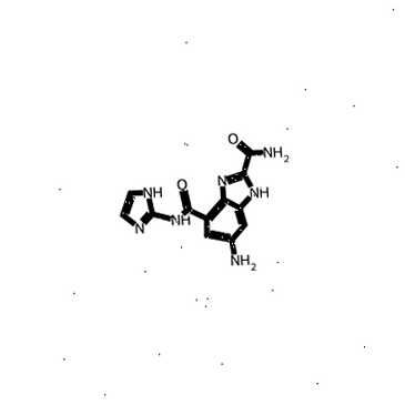 NC(=O)c1nc2c(C(=O)Nc3ncc[nH]3)cc(N)cc2[nH]1